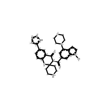 CCn1ccc2c(N3CCOCC3)cc(C(=O)[C@@H]3C(=O)c4cc(-c5nnn[nH]5)ccc4OC34CCNCC4)cc21